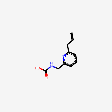 C=CCc1cccc(CNC(=O)O)n1